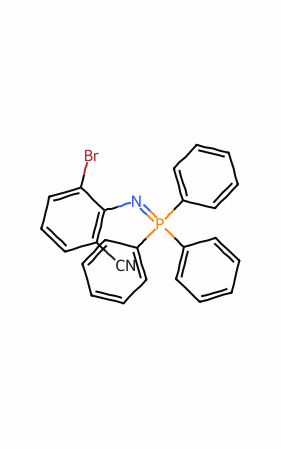 N#Cc1cccc(Br)c1N=P(c1ccccc1)(c1ccccc1)c1ccccc1